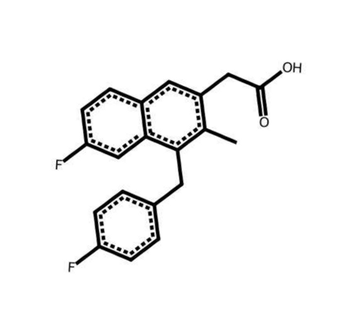 Cc1c(CC(=O)O)cc2ccc(F)cc2c1Cc1ccc(F)cc1